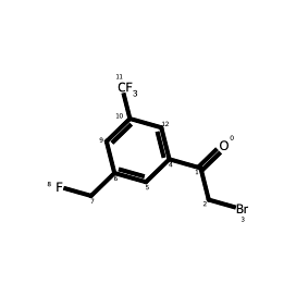 O=C(CBr)c1cc(CF)cc(C(F)(F)F)c1